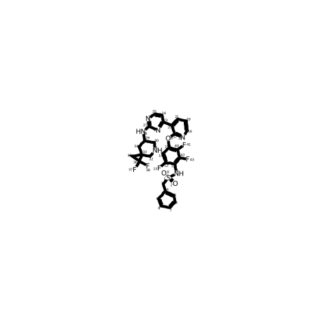 O=S(=O)(Cc1ccccc1)Nc1c(F)cc(Oc2ncccc2-c2ccnc(NC3CNCC4(C3)CC4(F)F)n2)c(F)c1F